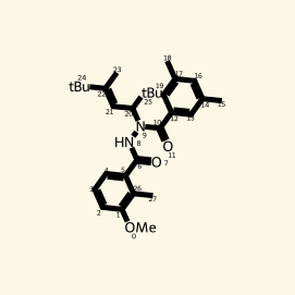 COc1cccc(C(=O)NN(C(=O)c2cc(C)cc(C)c2)C(/C=C(\C)C(C)(C)C)C(C)(C)C)c1C